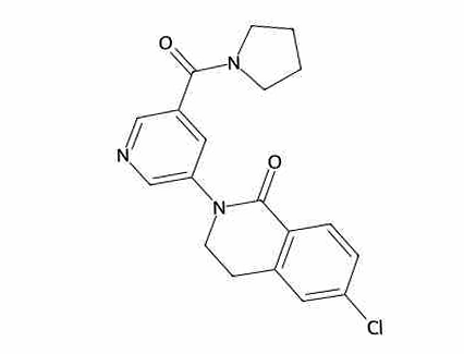 O=C(c1cncc(N2CCc3cc(Cl)ccc3C2=O)c1)N1CCCC1